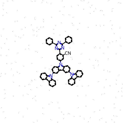 N#Cc1cc(-n2c3ccc(-n4c5ccccc5c5ccccc54)cc3c3cc(-n4c5ccccc5c5ccccc54)ccc32)ccc1-c1nc(-c2ccccc2)nc(-c2ccccc2)n1